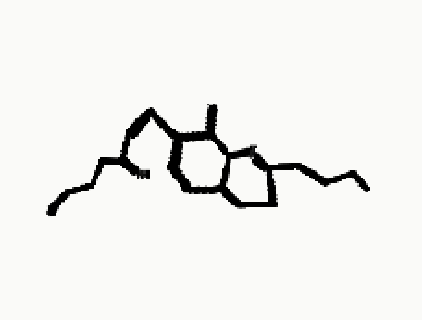 CCCCC(=N)/C=C\C1CCC2CCC(CCCC)=NC2C1C